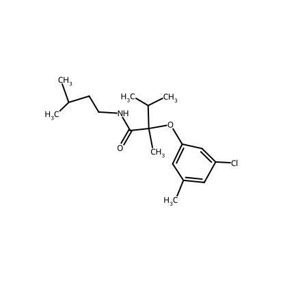 Cc1cc(Cl)cc(OC(C)(C(=O)NCCC(C)C)C(C)C)c1